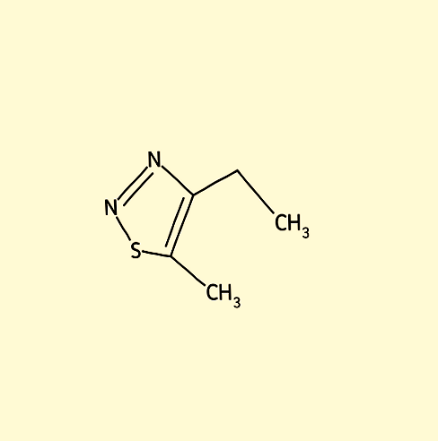 CCc1nnsc1C